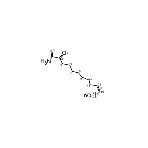 C=C(N)C(=O)CCCCCCC/C=C\CCCCCCCC